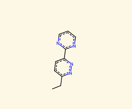 CCc1ccc(-c2ncccn2)nn1